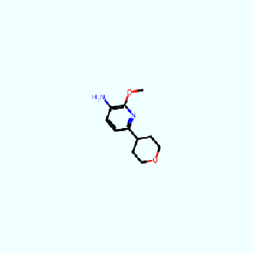 COc1nc(C2CCOCC2)ccc1N